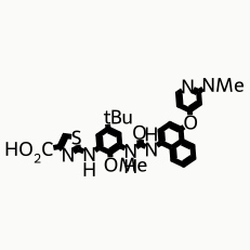 CNc1cc(Oc2ccc(NC(=O)Nc3cc(C(C)(C)C)cc(Nc4nc(C(=O)O)cs4)c3OC)c3ccccc23)ccn1